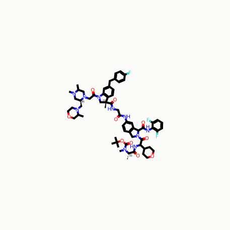 CC1CN(CC(=O)N2C[C@@](C)(C(=O)NCC(=O)Nc3ccc4c(c3)C(C(=O)Nc3c(F)cccc3F)N(C(=O)C(NC(=O)[C@H](C)N(C)C(=O)OC(C)(C)C)C3CCOCC3)C4)c3ccc(Cc4ccc(F)cc4)cc32)[C@@H](CN2CCOCC2C)CN1C